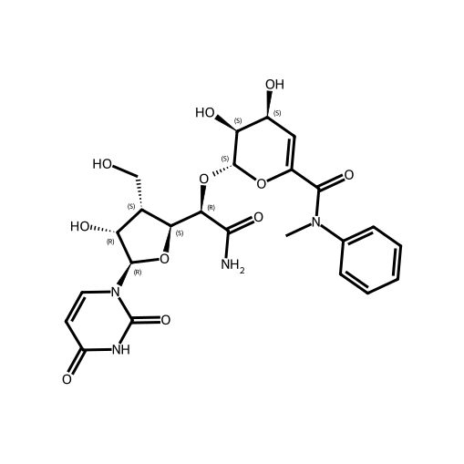 CN(C(=O)C1=C[C@H](O)[C@H](O)[C@@H](O[C@@H](C(N)=O)[C@H]2O[C@@H](n3ccc(=O)[nH]c3=O)[C@H](O)[C@@H]2CO)O1)c1ccccc1